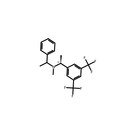 CC(c1ccccc1)N(C)[C@@H](C)c1cc(C(F)(F)F)cc(C(F)(F)F)c1